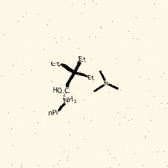 CCC(CC)(CC)C(=O)O.CCCN.CN(C)C